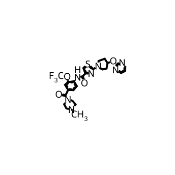 CN1CCN(C(=O)c2ccc(NC(=O)c3csc(N4CCC(Oc5ncccn5)CC4)n3)c(OC(F)(F)F)c2)CC1